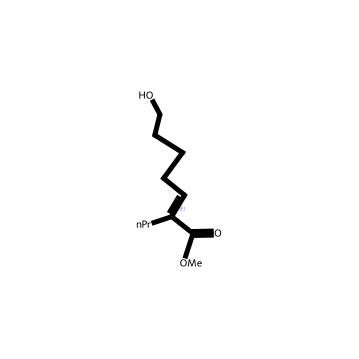 CCC/C(=C\CCCCO)C(=O)OC